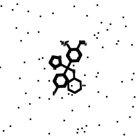 O=[N+]([O-])c1ccc(C(SC2CCCCC2)(c2ccc(F)cc2)c2nccs2)cc1C(F)(F)F